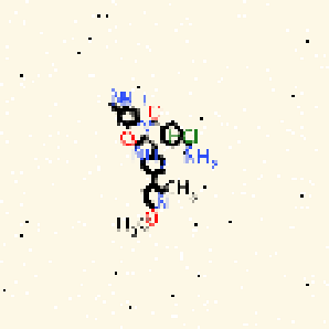 COc1ccc(-c2ccc(C[C@@H](C(N)=O)N(c3ccc4cn[nH]c4c3)C(=O)[C@H]3CC[C@H](CN)CC3)cc2)c(C)n1.Cl